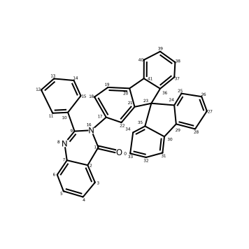 O=c1c2ccccc2nc(-c2ccccc2)n1-c1ccc2c(c1)C1(c3ccccc3-c3ccccc31)c1ccccc1-2